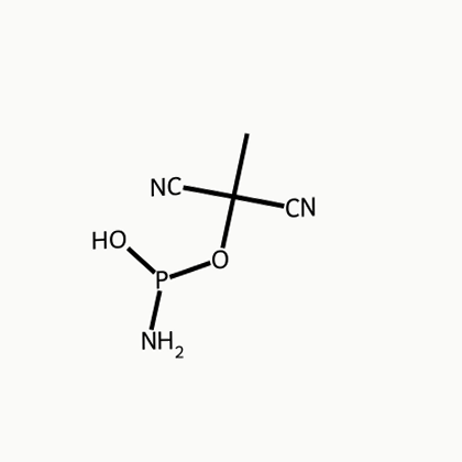 CC(C#N)(C#N)OP(N)O